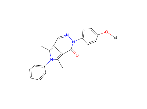 CCOc1ccc(-n2ncc3c(C)n(-c4ccccc4)c(C)c3c2=O)cc1